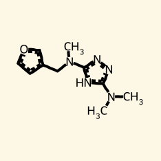 CN(C)c1nnc(N(C)Cc2ccoc2)[nH]1